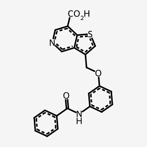 O=C(Nc1cccc(OCc2csc3c(C(=O)O)cncc23)c1)c1ccccc1